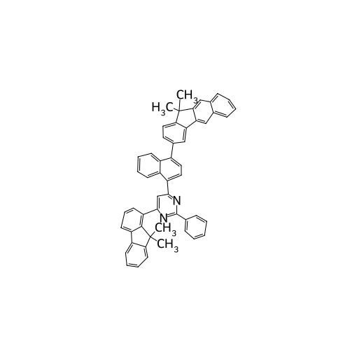 CC1(C)c2ccc(-c3ccc(-c4cc(-c5cccc6c5C(C)(C)c5ccccc5-6)nc(-c5ccccc5)n4)c4ccccc34)cc2-c2cc3ccccc3cc21